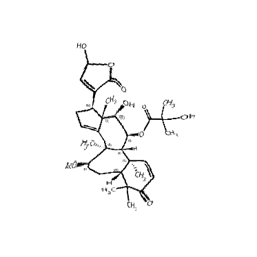 CC(=O)O[C@@H]1C[C@H]2C(C)(C)C(=O)C=C[C@]2(C)[C@H]2[C@H](OC(=O)C(C)(C)O)[C@H](O)[C@]3(C)C(=CC[C@H]3C3=CC(O)OC3=O)[C@@]21C